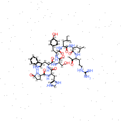 CC(=O)C(CCCNC(=N)N)NC(=O)C(CC(C)C)NC(=O)C(CC(C)C)NC(=O)C(Cc1ccc(O)cc1)NC(=O)C(CO)NC(=O)C(Cc1c[nH]c2ccccc12)NC(=O)C(CC1=CNCN1)NC(=O)C1CCC(=O)N1